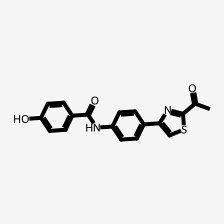 CC(=O)c1nc(-c2ccc(NC(=O)c3ccc(O)cc3)cc2)cs1